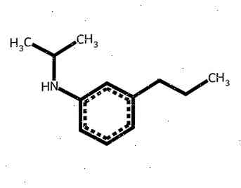 CCCc1cccc(NC(C)C)c1